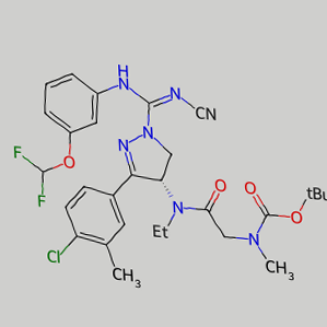 CCN(C(=O)CN(C)C(=O)OC(C)(C)C)[C@H]1CN(C(=NC#N)Nc2cccc(OC(F)F)c2)N=C1c1ccc(Cl)c(C)c1